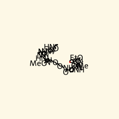 C=CC(=O)N[C@@H]1CN(c2nc(Nc3cn(CCOCCOCCNC(=O)c4ccc(Nc5ncc6c(n5)N(C5CCCC5)[C@H](CC)C(=O)N6C)c(OC)c4)nc3OC)c3ncn(C)c3n2)C[C@H]1F